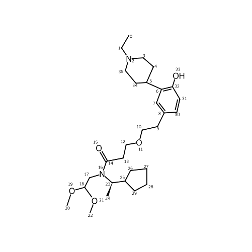 CCN1CCC(c2cc(CCOCCC(=O)N(CC(OC)OC)[C@H](C)C3CCCC3)ccc2O)CC1